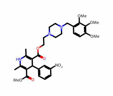 COC(=O)C1=C(C)NC(C)=C(C(=O)OCCN2CCN(Cc3ccc(OC)c(OC)c3OC)CC2)C1c1cccc([N+](=O)[O-])c1